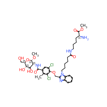 COC(=O)[C@@H](N)CCCCNC(=O)CCCCCn1c(COc2c(Cl)cc(C(=O)N[C@H]3[C@@H](OC)O[C@H](CO)[C@@H](O)[C@@H]3O)c(C)c2Cl)nc2ccccc21